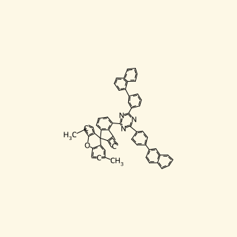 Cc1ccc2c(c1)C1(c3ccccc3-c3c(-c4nc(-c5ccc(-c6ccc7ccccc7c6)cc5)nc(-c5cccc(-c6cccc7ccccc67)c5)n4)cccc31)c1cccc(C)c1O2